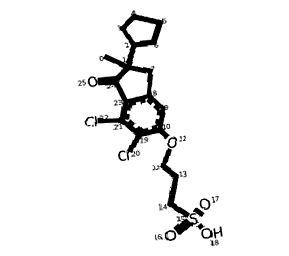 CC1(C2CCCC2)Cc2cc(OCCCS(=O)(=O)O)c(Cl)c(Cl)c2C1=O